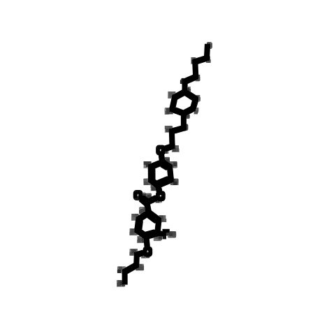 CCCCCC1CCC(CCCOc2ccc(OC(=O)c3ccc(OCCCC)c(F)c3)cc2)CC1